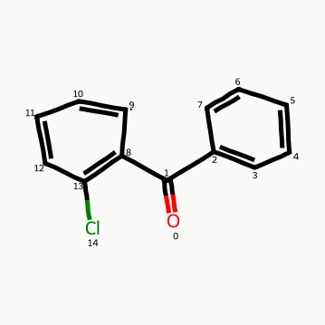 O=C(c1ccccc1)c1[c]cccc1Cl